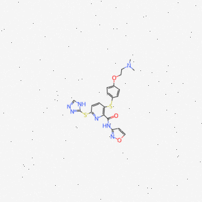 CN(C)CCOc1ccc(Sc2ccc(Sc3nnc[nH]3)nc2C(=O)Nc2ccon2)cc1